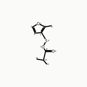 Cc1occc1SOC(=O)C(C)C